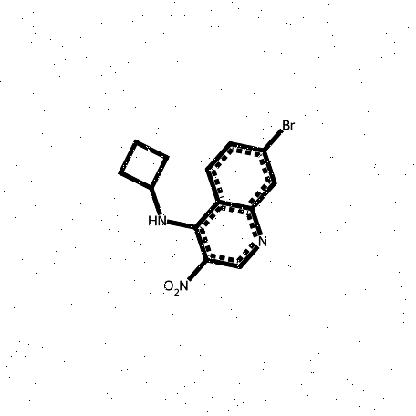 O=[N+]([O-])c1cnc2cc(Br)ccc2c1NC1CCC1